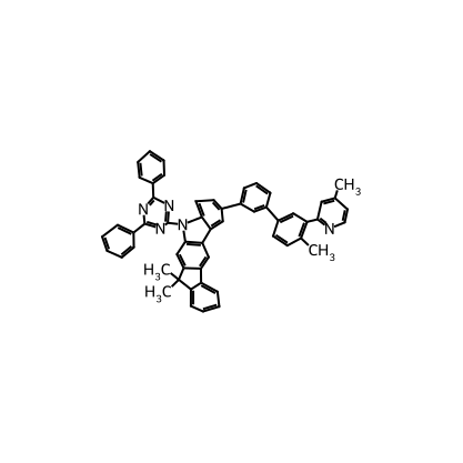 Cc1ccnc(-c2cc(-c3cccc(-c4ccc5c(c4)c4cc6c(cc4n5-c4nc(-c5ccccc5)nc(-c5ccccc5)n4)C(C)(C)c4ccccc4-6)c3)ccc2C)c1